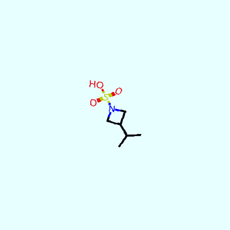 CC(C)C1CN(S(=O)(=O)O)C1